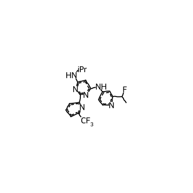 CC(C)Nc1cc(Nc2ccnc(C(C)F)c2)nc(-c2cccc(C(F)(F)F)n2)n1